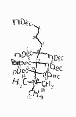 CCCCCCCCCCCCCC(CCCCCCCCCC)(CCCCCCCCCC)C(CCCCCCCCCC)(CCCCCCCCCC)C(CCCCCCCCCC)(CCCCCCCCCC)[N+](C)(C)C.[Br-]